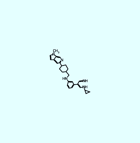 Cn1ccc2cc(C3CCC(CNc4cccc(/C(C=N)=C/NC5CC5)c4)CC3)ncc21